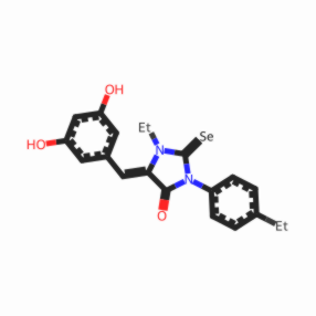 CCc1ccc(N2C(=O)C(=Cc3cc(O)cc(O)c3)N(CC)C2=[Se])cc1